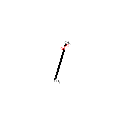 CCCCCC=CCC=CCC=CCC=CCCCC(=O)OCC(C)=O